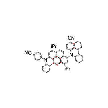 CC(C)c1cc(N(c2ccc(C#N)cc2)c2ccccc2-c2ccccc2)c2ccc3c(C(C)C)cc(N(c4ccc(C#N)cc4)c4ccccc4-c4ccccc4)c4ccc1c2c34